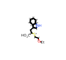 CCOCCS[C@@H](Cc1c[nH]c2ccccc12)C(=O)O